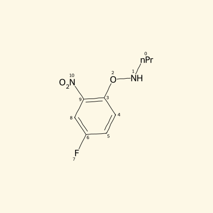 CCCNOc1ccc(F)cc1[N+](=O)[O-]